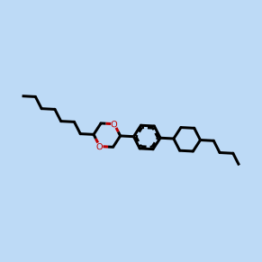 CCCCCCCC1COC(c2ccc(C3CCC(CCCC)CC3)cc2)CO1